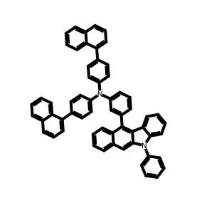 c1ccc(-n2c3ccccc3c3c(-c4cccc(N(c5ccc(-c6cccc7ccccc67)cc5)c5ccc(-c6cccc7ccccc67)cc5)c4)c4ccccc4cc32)cc1